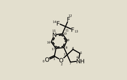 O=C1OC2(CCNC2)c2cc(C(F)(F)F)ncc21